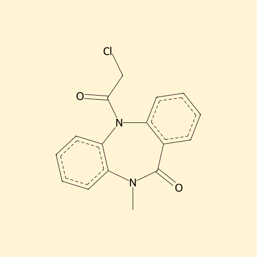 CN1C(=O)c2ccccc2N(C(=O)CCl)c2ccccc21